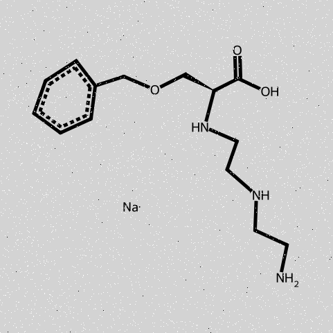 NCCNCCN[C@@H](COCc1ccccc1)C(=O)O.[Na]